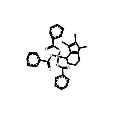 CC1=C(C)C(C)C2=C1[CH]([Ti]([O]C(=O)c1ccccc1)([O]C(=O)c1ccccc1)[O]C(=O)c1ccccc1)CCC2